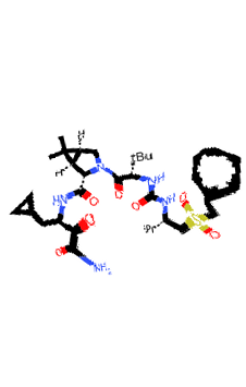 CC(C)[C@@H](CS(=O)(=O)Cc1ccccc1)NC(=O)N[C@H](C(=O)N1C[C@H]2[C@@H]([C@H]1C(=O)NC(CC1CC1)C(=O)C(N)=O)C2(C)C)C(C)(C)C